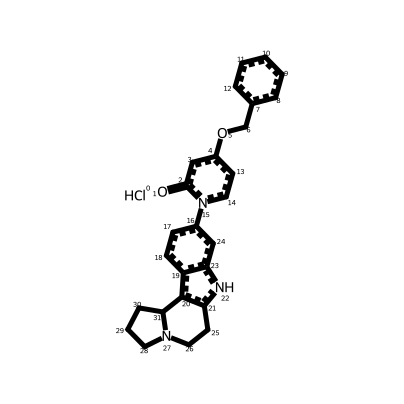 Cl.O=c1cc(OCc2ccccc2)ccn1-c1ccc2c3c([nH]c2c1)CCN1CCCC31